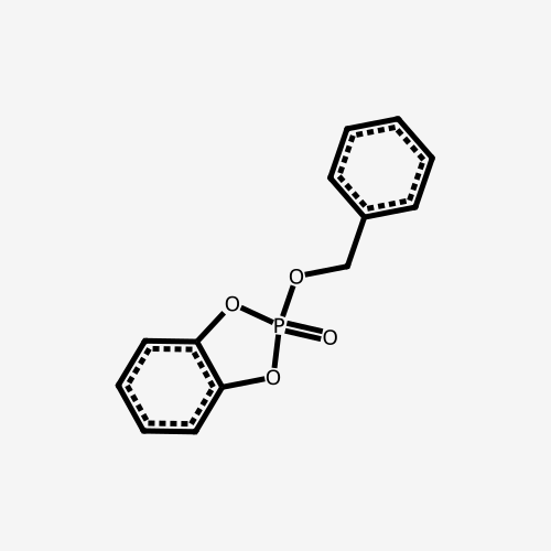 O=P1(OCc2ccccc2)Oc2ccccc2O1